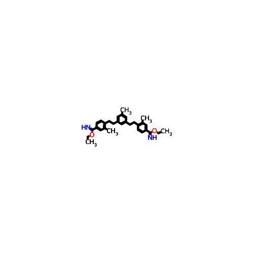 CCOC(=N)c1ccc(CCc2cc(C)cc(CCc3ccc(C(=N)OCC)cc3C)c2)c(C)c1